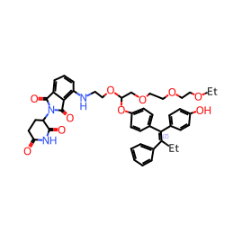 CCOCCOCCOCC(OCCNc1cccc2c1C(=O)N(C1CCC(=O)NC1=O)C2=O)Oc1ccc(/C(=C(/CC)c2ccccc2)c2ccc(O)cc2)cc1